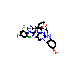 [2H]C1([2H])OCCC1([2H])n1c(Nc2c(F)cc(F)cc2F)nc2cnc(NC3CCC(O)CC3)nc21